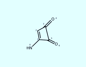 [NH]c1cc(=O)c1=O